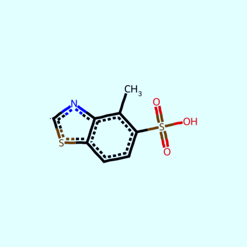 Cc1c(S(=O)(=O)O)ccc2s[c]nc12